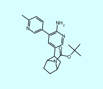 Cc1ccc(-c2cc(C3CC4CCC3N4C(=O)OC(C)(C)C)cnc2N)cn1